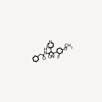 COc1ccc(-c2noc(NC(=O)Cc3ccccc3)c2-c2ccncn2)c(F)c1